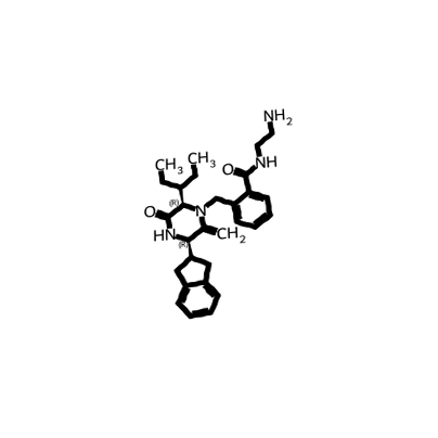 C=C1[C@@H](C2Cc3ccccc3C2)NC(=O)[C@@H](C(CC)CC)N1Cc1ccccc1C(=O)NCCN